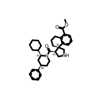 COC(=O)c1cccc2c1CCC[C@]21CNC[C@H]1C(=O)N1CC[C@@H](c2ccccc2)C[C@H]1C1CCCCC1